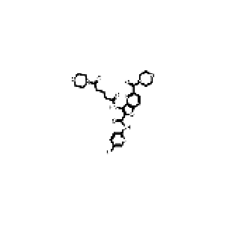 O=C(CCCC(=O)N1CCOCC1)Nc1c(C(=O)Nc2ccc(Cl)cn2)oc2ccc(C(=O)N3CCOCC3)nc12